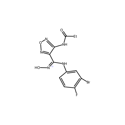 CCC(=O)Nc1nonc1/C(=N\O)Nc1ccc(F)c(Br)c1